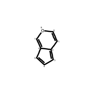 [c]1cc2cccc-2co1